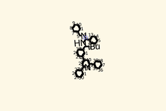 CCC(C)C(N/C(=N\Cc1ccccc1)c1ccccc1)c1cccc(-c2cc(-c3ccccc3)nc(-c3ccccc3)c2)c1